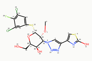 CO[C@@H]1[C@@H](n2cc(-c3csc(O)n3)nn2)[C@@H](O)[C@@H](CO)O[C@@H]1Sc1cc(Cl)c(F)c(Cl)c1